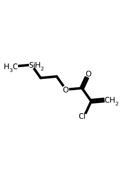 C=C(Cl)C(=O)OCC[SiH2]C